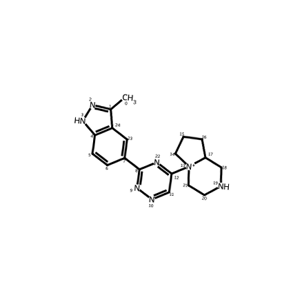 Cc1n[nH]c2ccc(-c3nncc([N+]45CCCC4CNCC5)n3)cc12